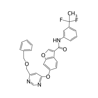 CC(F)(F)c1cccc(NC(=O)c2coc3cc(Oc4cc(COCc5ccccc5)ncn4)ccc23)c1